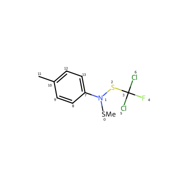 CSN(SC(F)(Cl)Cl)c1ccc(C)cc1